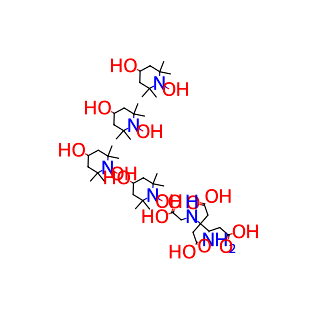 CC1(C)CC(O)CC(C)(C)N1O.CC1(C)CC(O)CC(C)(C)N1O.CC1(C)CC(O)CC(C)(C)N1O.CC1(C)CC(O)CC(C)(C)N1O.NC(CC(=O)O)C(CC(=O)O)(CC(=O)O)NCC(=O)O